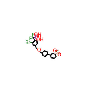 CS(=O)(=O)c1cccc(-c2ccc(COCc3ccc(C(F)(F)P(=O)(O)O)c(Br)c3)cc2)c1